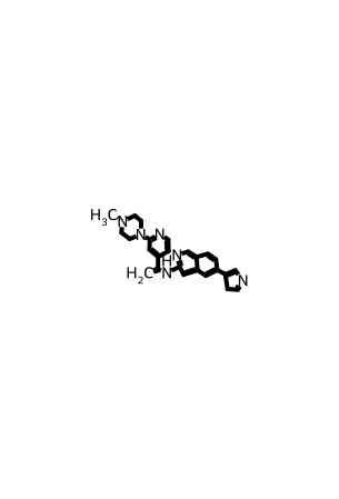 C=C(Nc1cc2cc(C3=CN=CC3)ccc2cn1)c1ccnc(N2CCN(C)CC2)c1